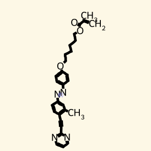 C=C(C)C(=O)OCCCCCCOc1ccc(/N=N/c2ccc(C#Cc3ncccn3)c(C)c2)cc1